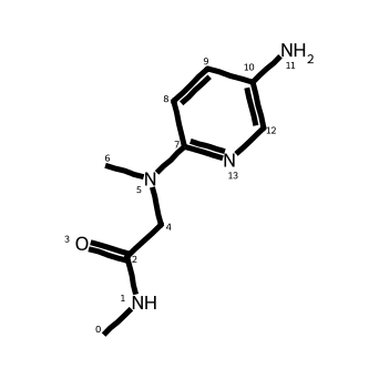 CNC(=O)CN(C)c1ccc(N)cn1